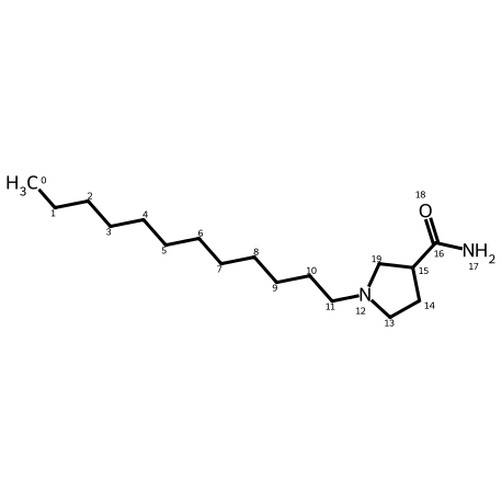 CCCCCCCCCCCCN1CCC(C(N)=O)C1